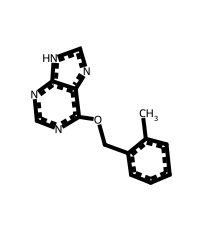 Cc1ccccc1COc1ncnc2[nH]cnc12